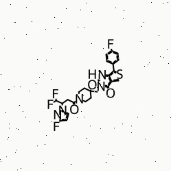 O=C(CC(C(F)F)n1ccc(F)n1)N1CCC(O)(Cn2cnc3c(-c4ccc(F)cc4)scc3c2=O)CC1